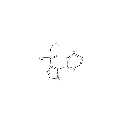 COS(=O)(=O)c1ccsc1-c1ccccc1